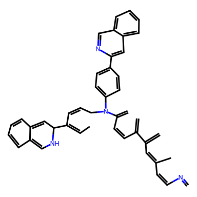 C=N/C=C\C(C)=C\C(=C)C(=C)/C=C\C(=C)N(C/C=C\C(=C/C)C1C=c2ccccc2=CN1)c1ccc(-c2cc3ccccc3cn2)cc1